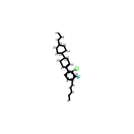 CCCCCc1ccc(C2=CCC(C3CCC(CCC)CC3)CC2)c(Cl)c1F